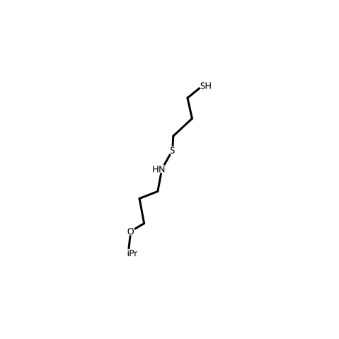 CC(C)OCCCNSCCCS